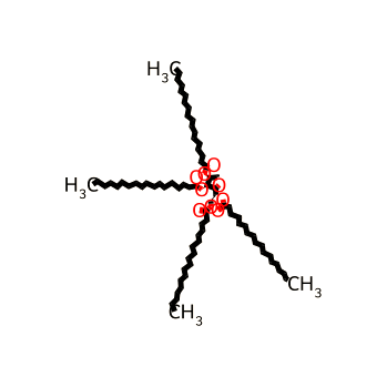 CCCCCCCCCCCCCCCCCC(=O)OC[C@@H](OC(=O)CCCCCCCCCCCCCCCCC)C1OC[C@H](OC(=O)CCCCCCCCCCCCCCCCC)[C@H]1OC(=O)CCCCCCCCCCCCCCCCC